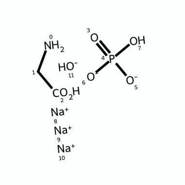 NCC(=O)O.O=P([O-])([O-])O.[Na+].[Na+].[Na+].[OH-]